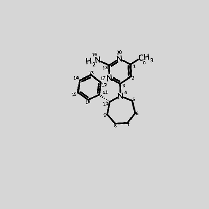 Cc1cc(N2CCCCC[C@@H]2c2ccccc2)nc(N)n1